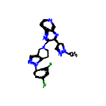 Cn1cc(-c2nc3cnccc3nc2N2CCc3c(cnn3-c3ccc(F)cc3F)C2)cn1